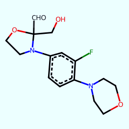 O=CC1(CO)OCCN1c1ccc(N2CCOCC2)c(F)c1